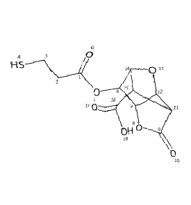 O=C(CCS)OC1C2OC(=O)C3C2OC1C3C(=O)O